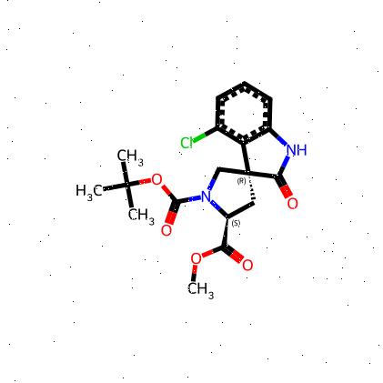 COC(=O)[C@@H]1C[C@@]2(CN1C(=O)OC(C)(C)C)C(=O)Nc1cccc(Cl)c12